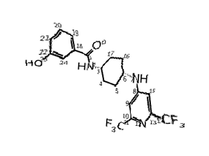 O=C(N[C@H]1CC[C@@H](Nc2cc(C(F)(F)F)nc(C(F)(F)F)c2)CC1)c1cccc(O)c1